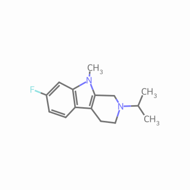 CC(C)N1CCc2c(n(C)c3cc(F)ccc23)C1